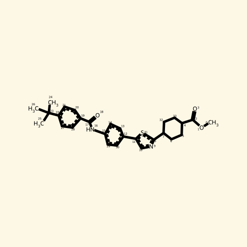 COC(=O)C1CCC(c2ncc(-c3ccc(NC(=O)c4ccc(C(C)(C)C)cc4)cc3)s2)CC1